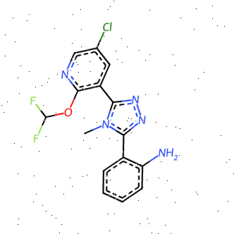 Cn1c(-c2ccccc2N)nnc1-c1cc(Cl)cnc1OC(F)F